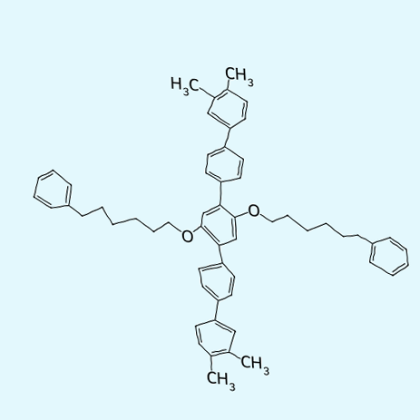 Cc1ccc(-c2ccc(-c3cc(OCCCCCCc4ccccc4)c(-c4ccc(-c5ccc(C)c(C)c5)cc4)cc3OCCCCCCc3ccccc3)cc2)cc1C